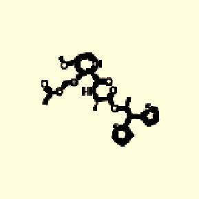 COc1ccnc(C(=O)N[C@@H](C)C(=O)O[C@@H](C)C(c2cccs2)c2cccs2)c1OCOC(C)=O